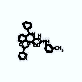 Cc1cccc(NC(=O)NC2N=C(c3ccccc3)c3ccccc3N(CC(=O)c3cccnc3)C2=O)c1